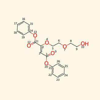 O=C(/C=C(\OCCOCCO)C(=O)Oc1ccccc1)Oc1ccccc1